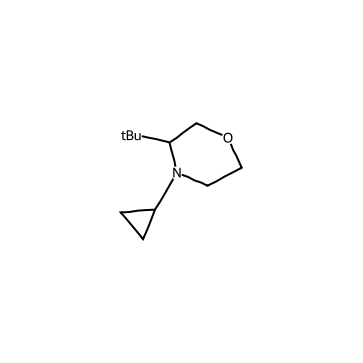 CC(C)(C)C1COCCN1C1CC1